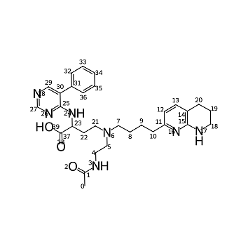 CC(=O)NCCN(CCCCc1ccc2c(n1)NCCC2)CCC(Nc1ncncc1-c1ccccc1)C(=O)O